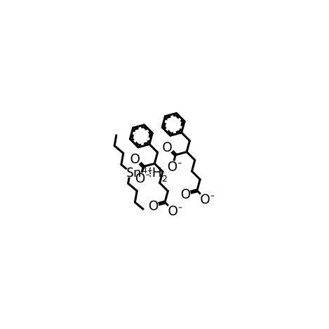 CCC[CH2][SnH2+4][CH2]CCC.O=C([O-])CCCC(Cc1ccccc1)C(=O)[O-].O=C([O-])CCCC(Cc1ccccc1)C(=O)[O-]